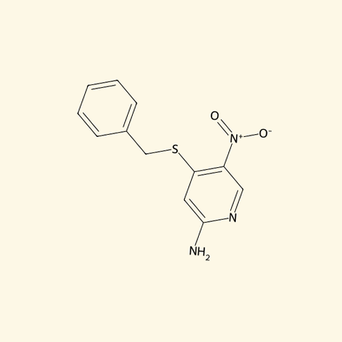 Nc1cc(SCc2ccccc2)c([N+](=O)[O-])cn1